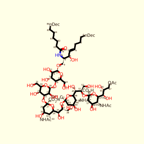 CCCCCCCCCCCCC/C=C/[C@@H](O)[C@H](CO[C@@H]1OC(CO)[C@@H](O[C@@H]2OC(CO)[C@H](O)[C@H](O[C@]3(C(=O)O)CC(O)[C@@H](NC(C)=O)C([C@H](O)[C@@H](CO)O[C@]4(C(=O)O)CC(O)[C@@H](NC(C)=O)C([C@H](O)[C@@H](CO)O[C@]5(C(=O)O)CC(O)[C@@H](NC(C)=O)C([C@H](O)[C@H](O)COC(C)=O)O5)O4)O3)C2O)[C@H](O)C1O)NC(=O)CCCCCCCCCCCCCCC